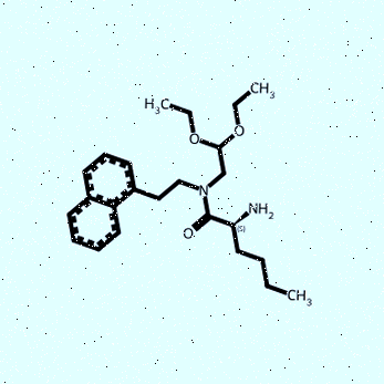 CCCC[C@H](N)C(=O)N(CCc1cccc2ccccc12)CC(OCC)OCC